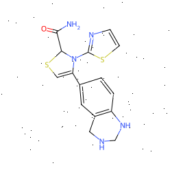 NC(=O)C1SC=C(c2ccc3c(c2)CNCN3)N1c1nccs1